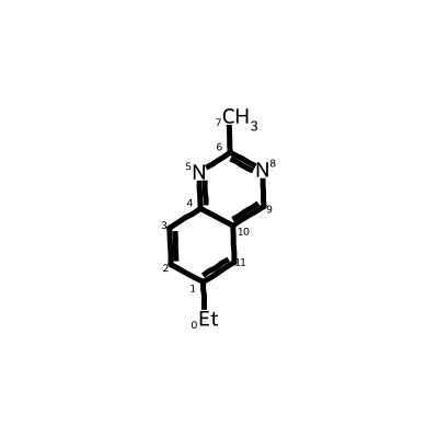 CCc1ccc2nc(C)ncc2c1